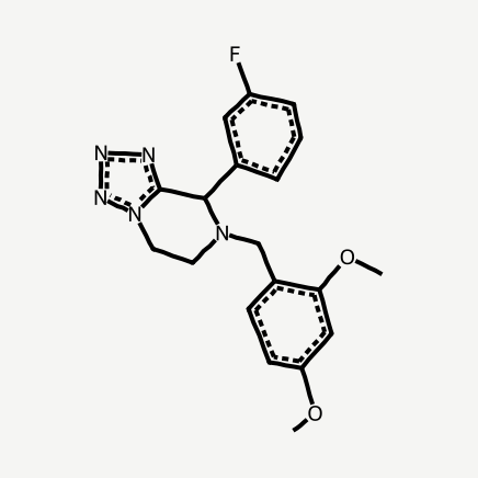 COc1ccc(CN2CCn3nnnc3C2c2cccc(F)c2)c(OC)c1